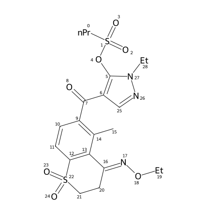 CCCS(=O)(=O)Oc1c(C(=O)c2ccc3c(c2C)C(=NOCC)CCS3(=O)=O)cnn1CC